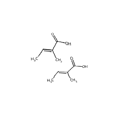 C/C=C(\C)C(=O)O.C/C=C(\C)C(=O)O